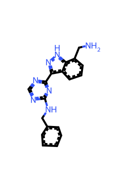 NCc1cccc2c(-c3ncnc(NCc4ccccc4)n3)n[nH]c12